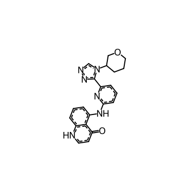 O=c1cc[nH]c2cccc(Nc3cccc(-c4nncn4C4CCCOC4)n3)c12